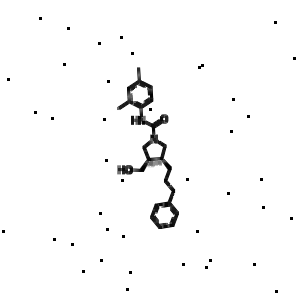 Cc1ccc(NC(=O)N2C[C@@H](CCCc3ccccc3)[C@@H](CO)C2)c(C)c1